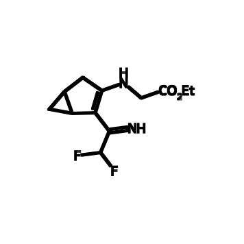 CCOC(=O)CNC1=C(C(=N)C(F)F)C2CC2C1